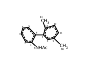 CC(=O)Nc1ccccc1-c1cc(C)ccc1C